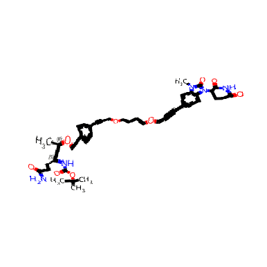 C[C@@H](OCc1ccc(C#CCOCCCCOCC#Cc2ccc3c(c2)n(C)c(=O)n3C2CCC(=O)NC2=O)cc1)[C@H](CCC(N)=O)NC(=O)OC(C)(C)C